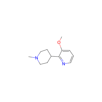 COc1cccnc1C1CCN(C)CC1